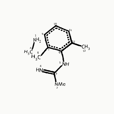 CN.CNC(=N)Nc1c(C)cccc1C